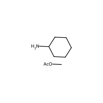 COC(C)=O.NC1CCCCC1